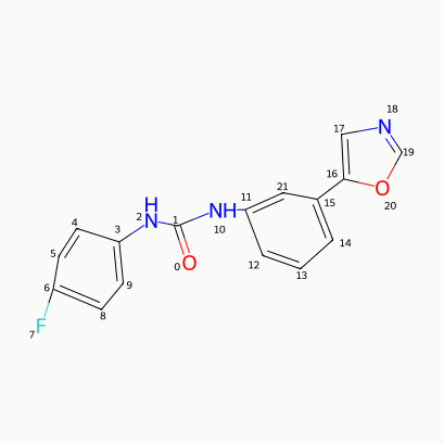 O=C(Nc1ccc(F)cc1)Nc1cccc(-c2cnco2)c1